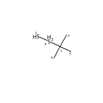 CC(C)(C)[SH2]S